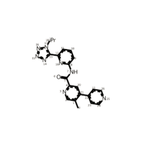 Cc1cnc(C(=O)Nc2cccc(-c3nnnn3C(C)C)n2)cc1-c1ccncc1